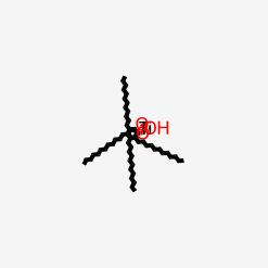 CCCCCCCCCCCCc1cc([O][Ti](=[O])[OH])c(CCCCCCCCCCCC)c(CCCCCCCCCCCC)c1CCCCCCCCCCCC